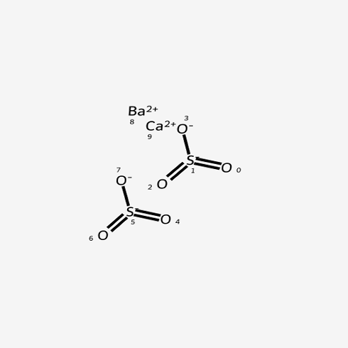 O=[S-](=O)[O-].O=[S-](=O)[O-].[Ba+2].[Ca+2]